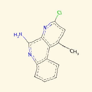 Cc1cc(Cl)nc2c(N)nc3ccccc3c12